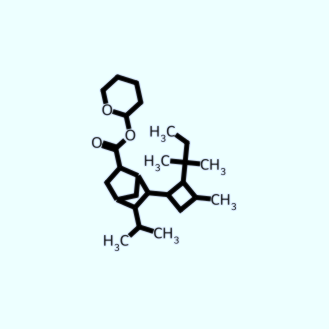 CCC(C)(C)C1C(C)CC1C1C2CC(CC2C(=O)OC2CCCCO2)C1C(C)C